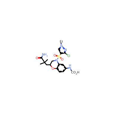 CCn1cc(S(=O)(=O)N2CC(CC(C)(C)C(N)=O)Oc3ccc(NC(=O)O)cc32)c(Cl)n1